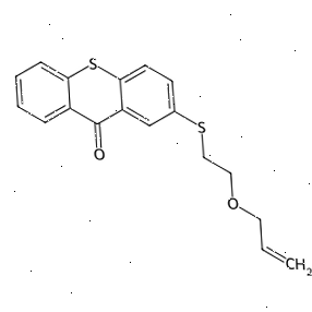 C=CCOCCSc1ccc2sc3ccccc3c(=O)c2c1